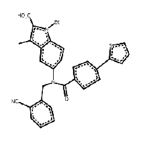 CCn1c(C(=O)O)c(C)c2cc(N(Cc3ccccc3C#N)C(=O)c3ccc(-c4cccs4)cc3)ccc21